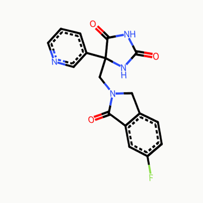 O=C1NC(=O)C(CN2Cc3ccc(F)cc3C2=O)(c2cccnc2)N1